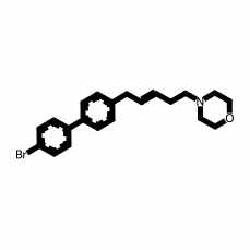 Brc1ccc(-c2ccc(CC=CCCN3CCOCC3)cc2)cc1